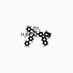 C=C(c1nc(-c2ccc(-c3ccccc3)cc2)nc(-c2ccc3c(c2)-c2cc4ccccc4cc2C32C3CC4CC(C3)CC2C4)n1)c1ccccc1/C=C\C